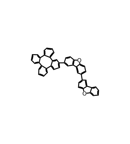 c1ccc2c(c1)-c1ccccc1-c1ccc(-c3ccc4oc5ccc(-c6ccc7oc8ccccc8c7c6)cc5c4c3)cc1-c1ccccc1-2